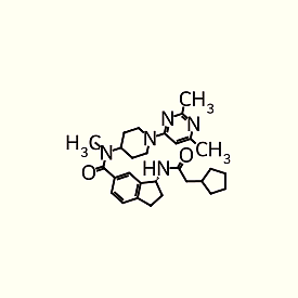 Cc1cc(N2CCC(N(C)C(=O)c3ccc4c(c3)[C@H](NC(=O)CC3CCCC3)CC4)CC2)nc(C)n1